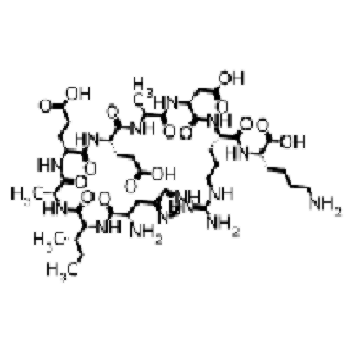 CC[C@H](C)[C@H](NC(=O)[C@@H](N)Cc1c[nH]cn1)C(=O)N[C@@H](C)C(=O)N[C@@H](CCC(=O)O)C(=O)N[C@@H](CCC(=O)O)C(=O)N[C@@H](C)C(=O)N[C@@H](CC(=O)O)C(=O)N[C@@H](CCCNC(=N)N)C(=O)N[C@@H](CCCCN)C(=O)O